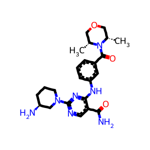 C[C@@H]1COC[C@H](C)N1C(=O)c1cccc(Nc2nc(N3CCC[C@H](N)C3)ncc2C(N)=O)c1